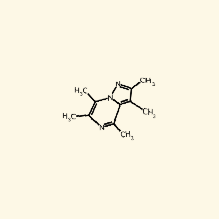 Cc1nn2c(C)c(C)nc(C)c2c1C